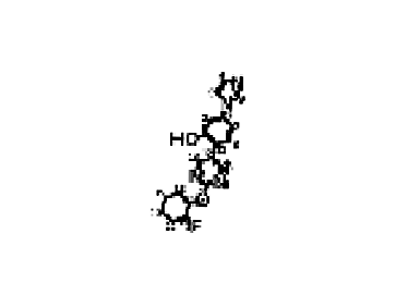 Oc1cc(-n2ccnc2)ccc1-c1cnc(O[C@@H]2CCCC[C@H]2F)nn1